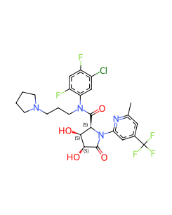 Cc1cc(C(F)(F)F)cc(N2C(=O)[C@@H](O)[C@@H](O)[C@H]2C(=O)N(CCCN2CCCC2)c2cc(Cl)c(F)cc2F)n1